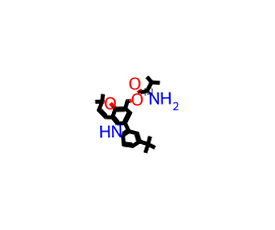 CC(C)[C@H](N)C(=O)OCc1cc2c([nH]c3ccc(C(C)(C)C)cc32)c2c1OC(C)(C)C=C2